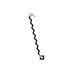 CCCCCCCCCCCCCCCCN1CCC1